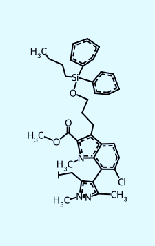 CCCC[Si](OCCCc1c(C(=O)OC)n(C)c2c(-c3c(C)nn(C)c3CI)c(Cl)ccc12)(c1ccccc1)c1ccccc1